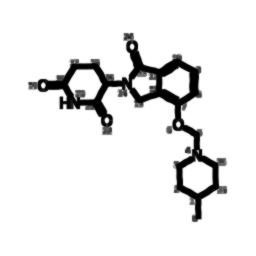 CC1CCN(COc2cccc3c2CN(C2CCC(=O)NC2=O)C3=O)CC1